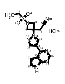 CCS(=O)(=O)N1CC(CC#N)(n2cc(-c3ncnc4[nH]ccc34)cn2)C1.Cl